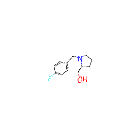 OC[C@@H]1CCCN1Cc1ccc(F)cc1